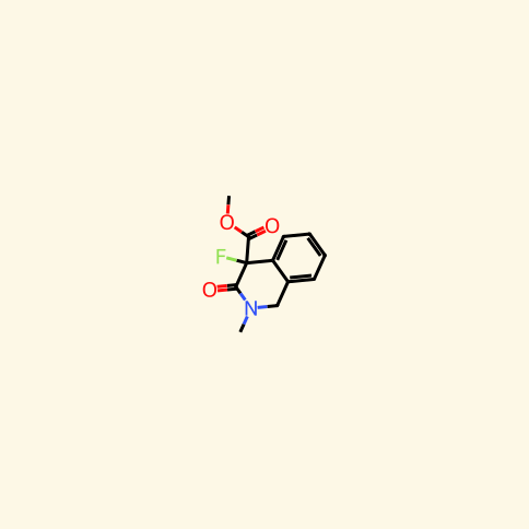 COC(=O)C1(F)C(=O)N(C)Cc2ccccc21